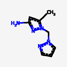 Cc1cc(N)nn1Cn1cccn1